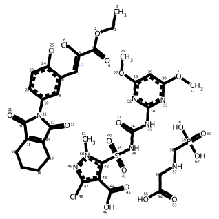 CCOC(=O)/C(Cl)=C/c1cc(N2C(=O)C3=C(CCCC3)C2=O)ccc1Cl.COc1cc(OC)nc(NC(=O)NS(=O)(=O)c2c(C(=O)O)c(Cl)nn2C)n1.O=C(O)CNCP(=O)(O)O